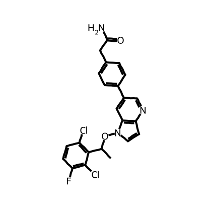 CC(On1ccc2ncc(-c3ccc(CC(N)=O)cc3)cc21)c1c(Cl)ccc(F)c1Cl